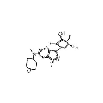 CN(c1cc2c(nn1)c(-c1cc(C(F)(F)F)c(F)c(O)c1F)nn2C)C1CCOCC1